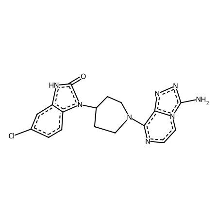 Nc1nnc2c(N3CCC(n4c(=O)[nH]c5cc(Cl)ccc54)CC3)nccn12